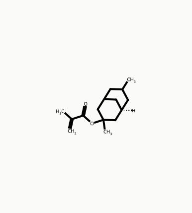 C=C(C)C(=O)OC1(C)CC2CC(C)C[C@H](C2)C1